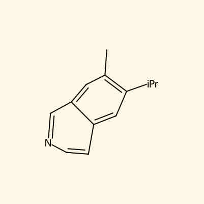 Cc1cc2cnccc2cc1C(C)C